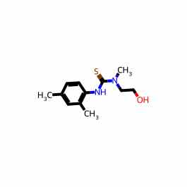 Cc1ccc(NC(=S)N(C)CCO)c(C)c1